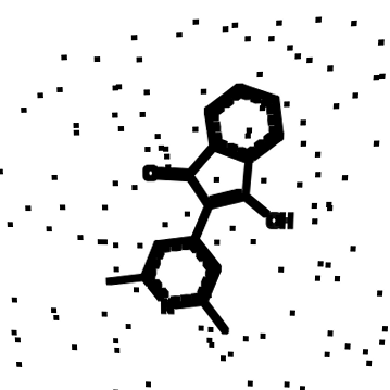 Cc1cc(C2=C(O)c3ccccc3C2=O)cc(C)n1